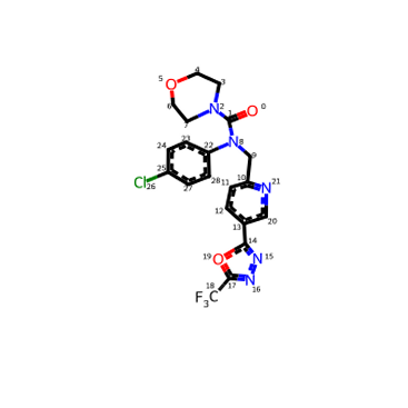 O=C(N1CCOCC1)N(Cc1ccc(-c2nnc(C(F)(F)F)o2)cn1)c1ccc(Cl)cc1